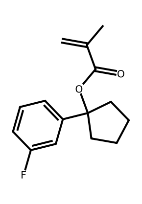 C=C(C)C(=O)OC1(c2cccc(F)c2)CCCC1